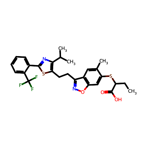 CCC(Sc1cc2onc(CCc3sc(-c4ccccc4C(F)(F)F)nc3C(C)C)c2cc1C)C(=O)O